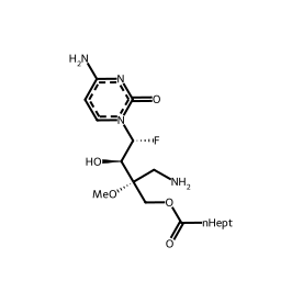 CCCCCCCC(=O)OC[C@@](CN)(OC)[C@@H](O)[C@@H](F)n1ccc(N)nc1=O